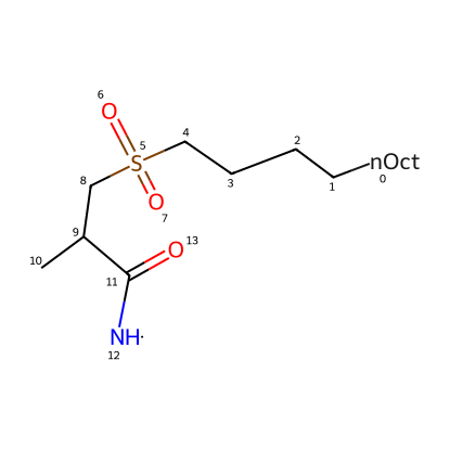 CCCCCCCCCCCCS(=O)(=O)CC(C)C([NH])=O